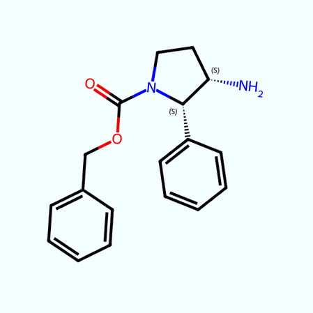 N[C@H]1CCN(C(=O)OCc2ccccc2)[C@H]1c1ccccc1